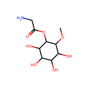 COC1C(O)C(O)C(O)C(O)C1OC(=O)CN